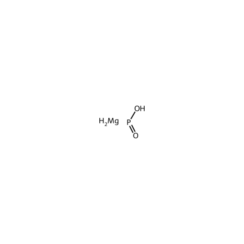 O=PO.[MgH2]